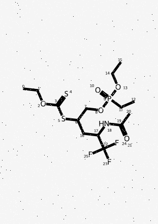 CCOC(=S)SC(COP(=O)(CC)OCC)CC(NC(C)=O)C(F)(F)F